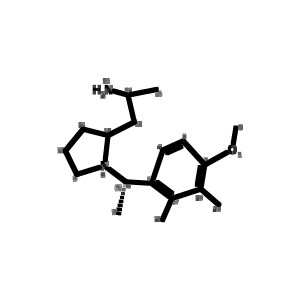 COc1ccc([C@H](C)N2CCCC2CC(C)N)c(C)c1C